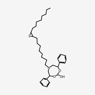 CCCCCCCCC1SC1CCCCCCCCN1CC(c2ccccc2)OB(O)OC(c2ccccc2)C1